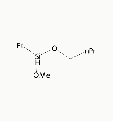 CCCCO[SiH](CC)OC